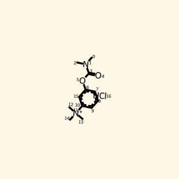 CN(C)C(=O)Oc1cccc([N+](C)(C)C)c1.Cl